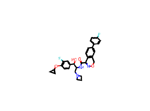 O=C(NC(CN1CCC1)C(O)c1ccc(OC2CC2)c(F)c1)C1=NOCc2cc(-c3ccc(F)cc3)ccc21